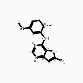 COC1=CC[C@H](C)C(Nc2ncnc3cc(Br)sc23)=C1